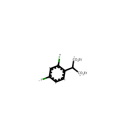 CCOC(=O)C(C(=O)OCC)c1ccc(F)cc1F